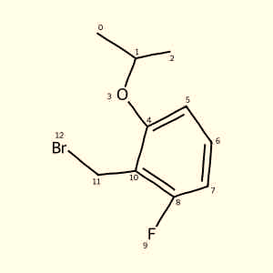 CC(C)Oc1cccc(F)c1CBr